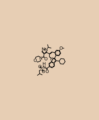 COc1ccc2c(c1)C=C(c1c(C(=O)N3CCOCC3)cnn1C(C)C)Cn1c-2c(C2CCCCC2)c2ccc(C(=O)NS(=O)(=O)CC(C)C)cc21